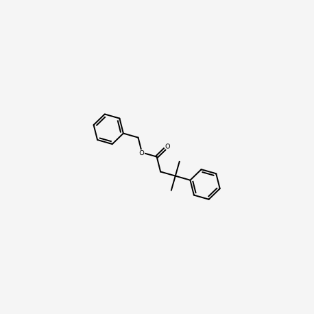 CC(C)(CC(=O)OCc1ccccc1)c1ccccc1